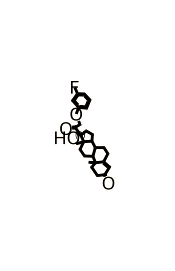 CC12CCC(=O)C=C1CCC1C2CCC2(C)C1CC[C@]2(O)C(=O)COc1cccc(F)c1